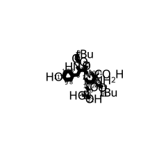 CC(C)(C)OC(=O)NC(Cc1ccc(O)cc1)C(=O)N1C[C@@H](CCB(O)O)C[C@](NC(=O)OC(C)(C)C)(C(=O)O)C1